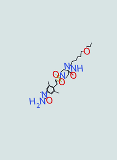 CCCOCCCCCC1=NC2(CCN(S(=O)(=O)C=Cc3c(C)cc(N(C)C(N)=O)cc3C)CC2)C(=O)N1